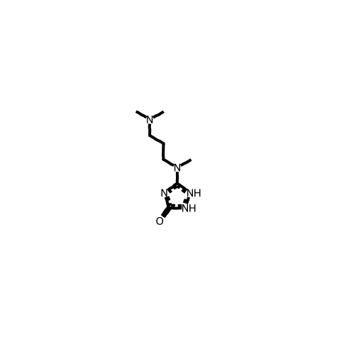 CN(C)CCCN(C)c1nc(=O)[nH][nH]1